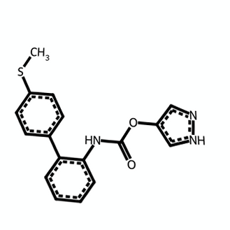 CSc1ccc(-c2ccccc2NC(=O)Oc2cn[nH]c2)cc1